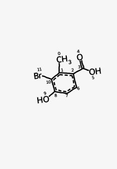 Cc1c(C(=O)O)ccc(O)c1Br